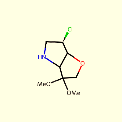 COC1(OC)COC2C1NC[C@H]2Cl